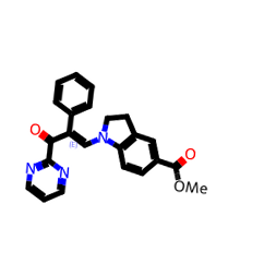 COC(=O)c1ccc2c(c1)CCN2/C=C(/C(=O)c1ncccn1)c1ccccc1